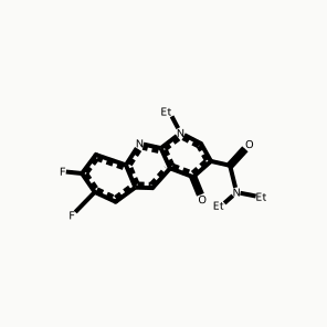 CCN(CC)C(=O)c1cn(CC)c2nc3cc(F)c(F)cc3cc2c1=O